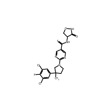 O=C1NOCC1NC(=S)c1cnc(N2CCC(c3cc(Cl)c(F)c(Cl)c3)(C(F)(F)F)C2)nc1